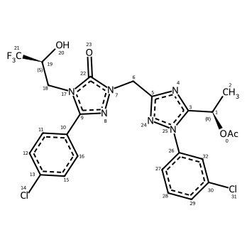 CC(=O)O[C@H](C)c1nc(Cn2nc(-c3ccc(Cl)cc3)n(C[C@H](O)C(F)(F)F)c2=O)nn1-c1cccc(Cl)c1